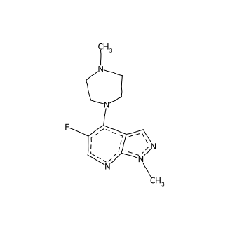 CN1CCN(c2c(F)cnc3c2cnn3C)CC1